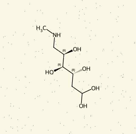 CNC[C@@H](O)[C@H](O)[C@H](O)CC(O)O